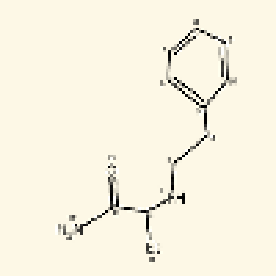 CCC(PCCc1ccccc1)C(N)=O